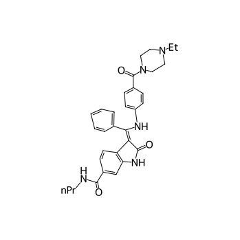 CCCNC(=O)c1ccc2c(c1)NC(=O)/C2=C(\Nc1ccc(C(=O)N2CCN(CC)CC2)cc1)c1ccccc1